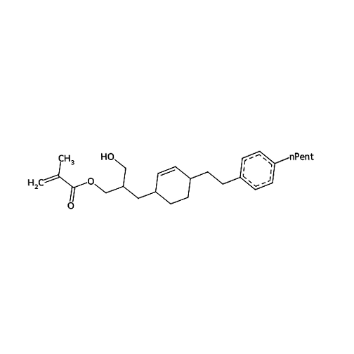 C=C(C)C(=O)OCC(CO)CC1C=CC(CCc2ccc(CCCCC)cc2)CC1